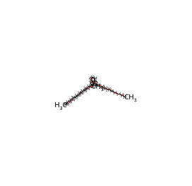 CCCCCCCCCCCCCCCCCCSC(C)(SCCCCCCCCCCCCCCCCCC)c1ccccc1